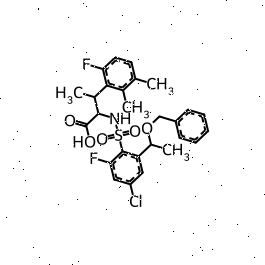 Cc1ccc(F)c(C(C)C(NS(=O)(=O)c2c(F)cc(Cl)cc2C(C)OCc2ccccc2)C(=O)O)c1C